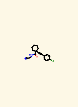 N#CCNC(=O)C1(C#Cc2ccc(Br)cc2)CCCCC1